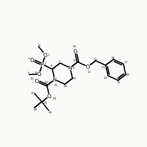 COP(=O)(OC)C1CN(C(=O)OCc2ccccc2)CCN1C(=O)OC(C)(C)C